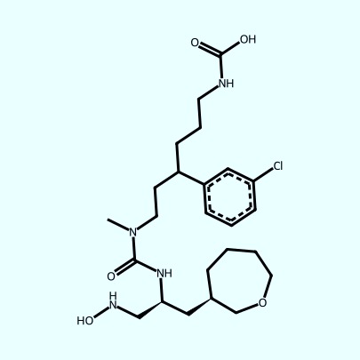 CN(CCC(CCCNC(=O)O)c1cccc(Cl)c1)C(=O)N[C@H](CNO)C[C@H]1CCCCOC1